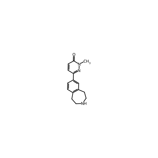 Cn1nc(-c2ccc3c(c2)CCNCC3)ccc1=O